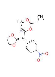 C/C=C(\OC(=O)CC)C(=C1OCCO1)c1ccc([N+](=O)[O-])cc1